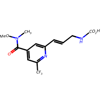 CON(C)C(=O)c1cc(/C=C/CNC(=O)O)nc(C(F)(F)F)c1